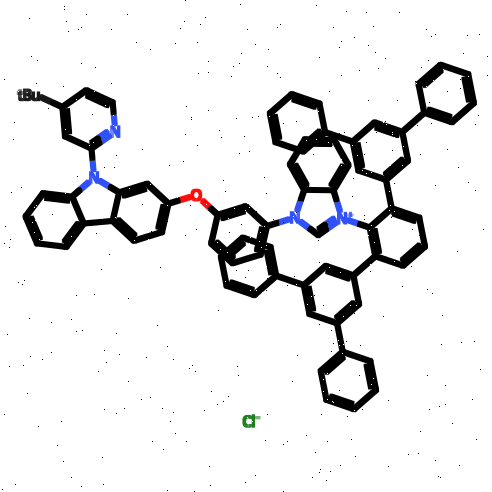 CC(C)(C)c1ccnc(-n2c3ccccc3c3ccc(Oc4cccc(-n5c[n+](-c6c(-c7cc(-c8ccccc8)cc(-c8ccccc8)c7)cccc6-c6cc(-c7ccccc7)cc(-c7ccccc7)c6)c6ccccc65)c4)cc32)c1.[Cl-]